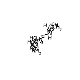 CC(C)(C)c1ccc2[nH]c(CC[C@H]3C[C@H](N(C[C@H]4C[C@@H](n5cnc6c(N)ncnc65)[C@H](O)[C@@H]4O)C4CCC4)C3)nc2c1